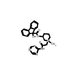 C[N+]1(CC(=O)Nc2ncncn2)CCCC(OC(=O)C2(O)c3ccccc3-c3ccccc32)C1